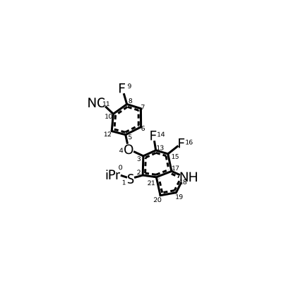 CC(C)Sc1c(Oc2ccc(F)c(C#N)c2)c(F)c(F)c2[nH]ccc12